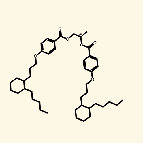 CCCCCC1CCCCC1CCCOc1ccc(C(=O)OC[C@@H](C)OC(=O)c2ccc(OCCCC3CCCCC3CCCCC)cc2)cc1